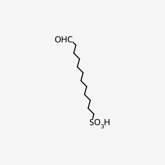 O=CCCCCCCCCCCCS(=O)(=O)O